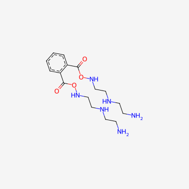 NCCNCCNOC(=O)c1ccccc1C(=O)ONCCNCCN